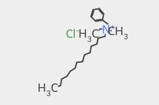 CCCCCCCCCCCCCC[N+](C)(CC)Cc1ccccc1.[Cl-]